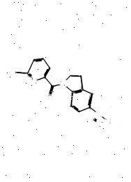 NS(=O)(=O)c1ccc2c(c1)CCN2C(=O)c1cccc(Cl)n1